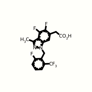 Cc1nn(Cc2c(F)cccc2C(F)(F)F)c2cc(CC(=O)O)c(F)c(F)c12